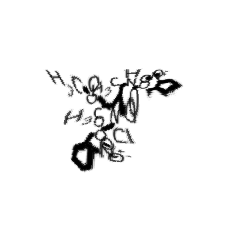 CC(=O)OCC(C)C1C(C(C)NC(=O)OCc2ccccc2[N+](=O)[O-])C(=O)N1C(Cl)C(=O)OCc1ccccc1[N+](=O)[O-]